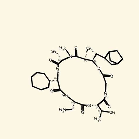 CCC[C@H]1C(=O)N[C@@H](C2CCCCCC2)C(=O)N[C@@H](CN)C(=O)N[C@@H]([C@H](C)O)C(=O)NCC(=O)O[C@H](CC2CC3CCC2C3)[C@@H](C)C(=O)N1C